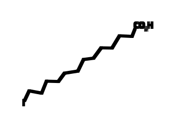 O=C(O)CCCCCCCCCCCCI